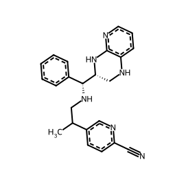 CC(CN[C@H](c1ccccc1)[C@H]1CNc2cccnc2N1)c1ccc(C#N)nc1